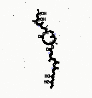 CC[C@H](O)C[C@H](O)C/C=C(\C)C=C(C)C=C(C)/C=C/C(=O)O[C@H]1CCCC(=O)O[C@@H]([C@@H](C)C/C(C)=C/[C@@H](C)[C@H](O)C[C@@H](C)O)C/C=C(\C)C[C@@H]1C